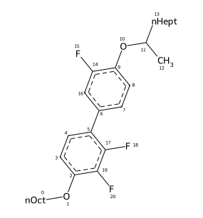 CCCCCCCCOc1ccc(-c2ccc(OC(C)CCCCCCC)c(F)c2)c(F)c1F